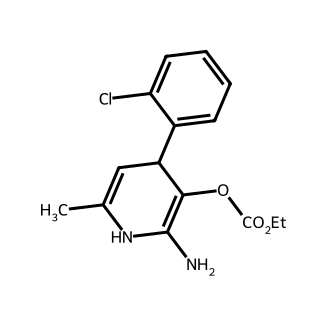 CCOC(=O)OC1=C(N)NC(C)=CC1c1ccccc1Cl